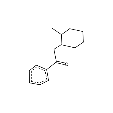 CC1CCCCC1CC(=O)c1ccccc1